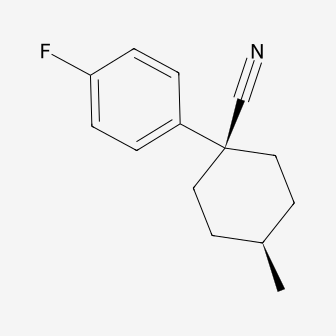 C[C@H]1CC[C@](C#N)(c2ccc(F)cc2)CC1